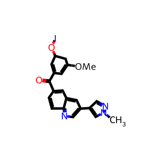 COC1=CC(C(=O)c2ccc3ncc(-c4cnn(C)c4)cc3c2)=CC(OI)C1